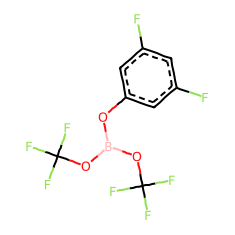 Fc1cc(F)cc(OB(OC(F)(F)F)OC(F)(F)F)c1